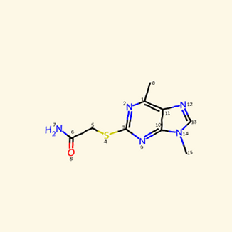 Cc1nc(SCC(N)=O)nc2c1ncn2C